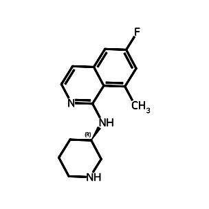 Cc1cc(F)cc2ccnc(N[C@@H]3CCCNC3)c12